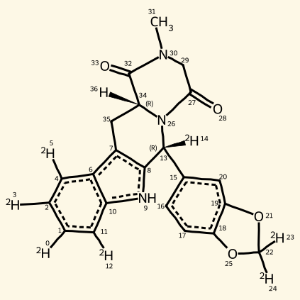 [2H]c1c([2H])c([2H])c2c3c([nH]c2c1[2H])[C@@]([2H])(c1ccc2c(c1)OC([2H])([2H])O2)N1C(=O)CN(C)C(=O)[C@H]1C3